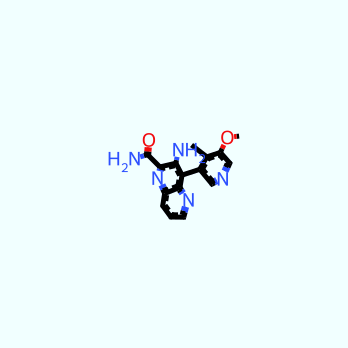 COc1cncc(-c2c(N)c(C(N)=O)nc3cccnc23)c1C